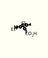 CCn1cc(-c2ccc3c(c2)CC(C)N(c2ccc(C4CC4)cc2Cl)C3c2ccc(/C=C/C(=O)O)cc2)cn1